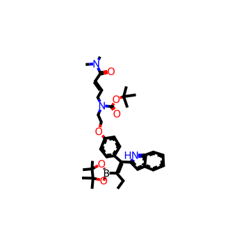 CC/C(B1OC(C)(C)C(C)(C)O1)=C(/c1ccc(OCCN(C/C=C/C(=O)N(C)C)C(=O)OC(C)(C)C)cc1)c1cc2ccccc2[nH]1